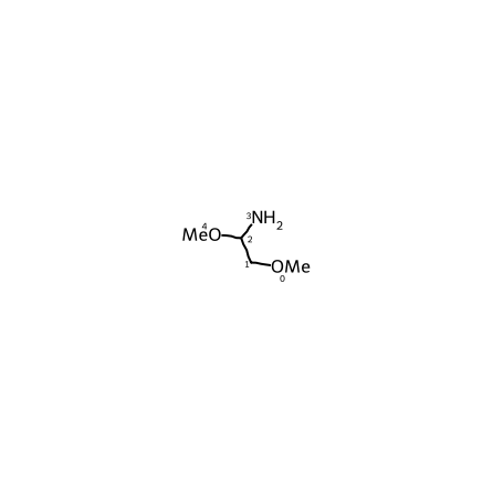 COCC(N)OC